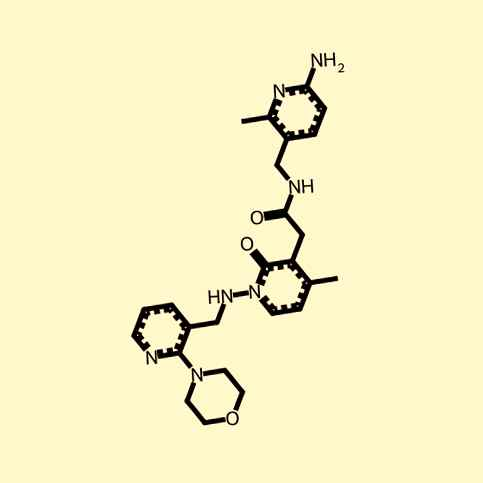 Cc1ccn(NCc2cccnc2N2CCOCC2)c(=O)c1CC(=O)NCc1ccc(N)nc1C